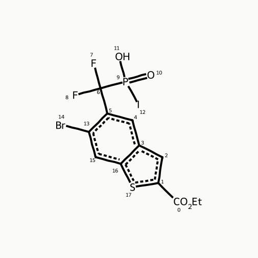 CCOC(=O)c1cc2cc(C(F)(F)P(=O)(O)I)c(Br)cc2s1